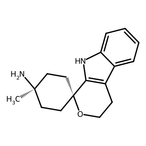 C[C@]1(N)CC[C@@]2(CC1)OCCc1c3ccccc3[nH]c12